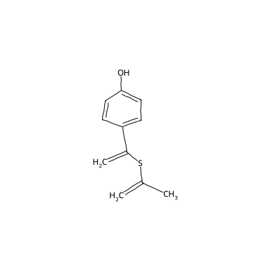 C=C(C)SC(=C)c1ccc(O)cc1